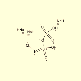 O=S(=O)(O)OS(=O)(O)=NCl.[NaH].[NaH].[NaH]